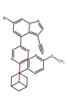 COc1ccc(CN2C3CC2CN(c2cnc(-c4cc(Br)cn5ncc(C#N)c45)cn2)C3)cn1